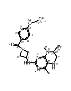 Cc1nc(NC2CN(C(=O)c3ccc(OCC(F)(F)F)nc3)C2)nc2c1NC[C@H](C(C)C)N2C